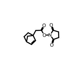 O=C(CC12C=CC(CC1)C2)ON1C(=O)CCC1=O